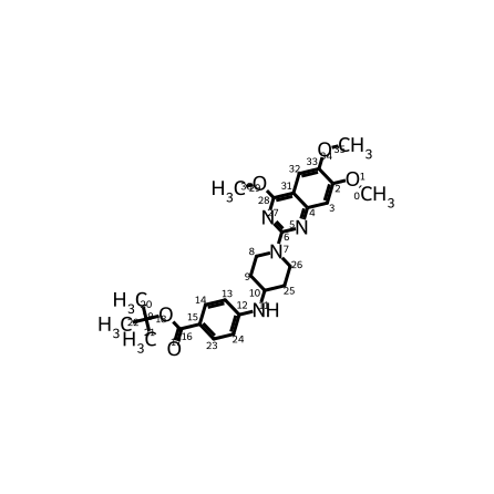 COc1cc2nc(N3CCC(Nc4ccc(C(=O)OC(C)(C)C)cc4)CC3)nc(OC)c2cc1OC